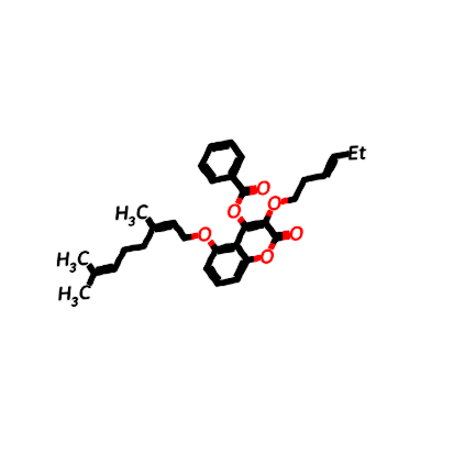 CCC=CCCOc1c(OC(=O)c2ccccc2)c2c(OCC=C(C)CCC=C(C)C)cccc2oc1=O